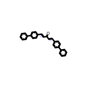 O=C(/C=C/c1ccc(-c2ccccc2)cc1)/C=C/c1ccc(-c2ccccc2)cc1